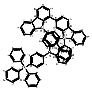 c1ccc([Si](c2ccccc2)(c2ccccc2)c2ccc(-n3c4ccccc4c4ccc(-n5c6ccccc6c6cccc(-c7ccc8c(c7)[Si](c7ccccc7)(c7ccccc7)c7ccccc7-8)c65)cc43)cc2)cc1